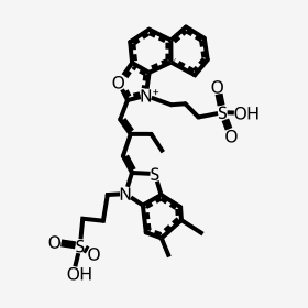 CCC(=Cc1oc2ccc3ccccc3c2[n+]1CCCS(=O)(=O)O)C=C1Sc2cc(C)c(C)cc2N1CCCS(=O)(=O)O